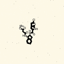 CC(C)(C)OC(=O)CC(=O)N[C@@H]1c2ccccc2C[C@H]1NC(=O)c1cc2cc(Cl)sc2[nH]1